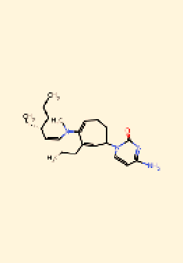 CCCC1=CC(n2ccc(N)nc2=O)CCC=C1N(C)/C=C\[C@H](CC)CCC